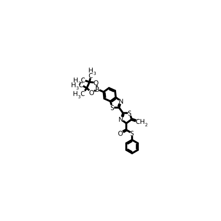 C=C1SC(c2nc3ccc(B4OC(C)(C)C(C)(C)O4)cc3s2)=NC1C(=O)Sc1ccccc1